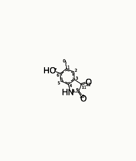 Cc1cc2c(cc1O)NC(=O)C2=O